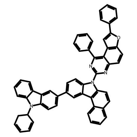 C1=CCC(n2c3ccccc3c3cc(-c4ccc5c(c4)c4c6ccccc6ccc4n5-c4nc(-c5ccccc5)c5c(ccc6oc(-c7ccccc7)cc65)n4)ccc32)C=C1